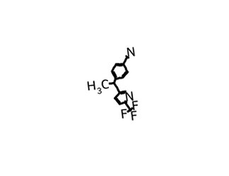 CC(c1ccc(C#N)cc1)c1ccc(C(F)(F)F)nc1